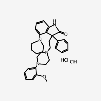 COc1ccccc1N1CCN(CCC2(c3ccccc3)C(=O)Nc3cccc(N4CCCCC4)c32)CC1.Cl.Cl